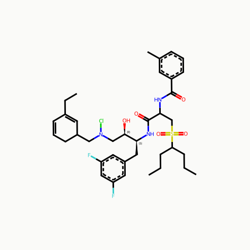 CCCC(CCC)S(=O)(=O)CC(NC(=O)c1cccc(C)c1)C(=O)N[C@@H](Cc1cc(F)cc(F)c1)[C@H](O)CN(Cl)CC1C=C(CC)C=CC1